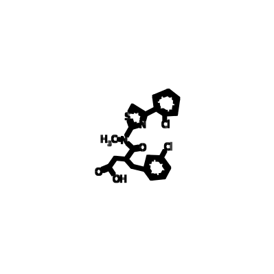 CN(C(=O)C(CC(=O)O)Cc1cccc(Cl)c1)c1nc(-c2ccccc2Cl)cs1